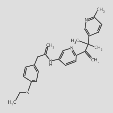 C=C(Cc1ccc(SCC)cc1)Nc1ccc(C(=C)C(C)(C)c2ccc(C)nc2)nc1